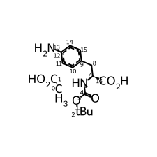 CC(=O)O.CC(C)(C)OC(=O)N[C@@H](Cc1ccc(N)cc1)C(=O)O